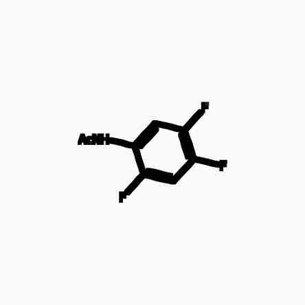 CC(=O)Nc1cc(F)c(F)cc1F